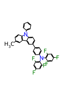 Cc1ccc2c(c1)c1cc(-c3ccc(N(c4c(F)cc(F)cc4F)c4c(F)cc(F)cc4F)cc3)ccc1n2-c1ccccc1